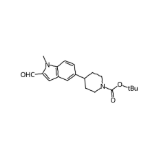 Cn1c(C=O)cc2cc(C3CCN(C(=O)OC(C)(C)C)CC3)ccc21